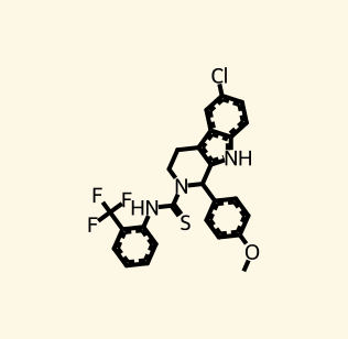 COc1ccc(C2c3[nH]c4ccc(Cl)cc4c3CCN2C(=S)Nc2ccccc2C(F)(F)F)cc1